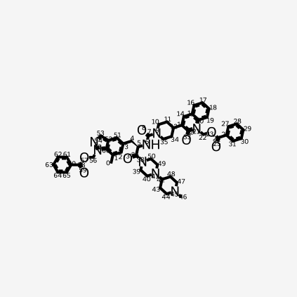 Cc1cc(C[C@@H](NC(=O)N2CCC(c3cc4ccccc4n(COC(=O)c4ccccc4)c3=O)CC2)C(=O)N2CCN(C3CCN(C)CC3)CC2)cc2cnn(COC(=O)c3ccccc3)c12